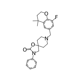 CC1(C)CCOc2c(F)cc(CN3CCC4(CC3)CN(c3ccccc3)C(=O)O4)cc21